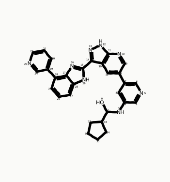 OC(Nc1cncc(-c2cnc3[nH]nc(-c4nc5c(-c6cccnc6)cccc5[nH]4)c3c2)c1)C1CCCC1